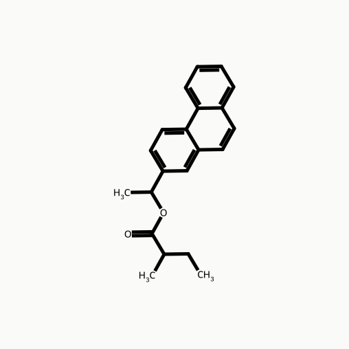 CCC(C)C(=O)OC(C)c1ccc2c(ccc3ccccc32)c1